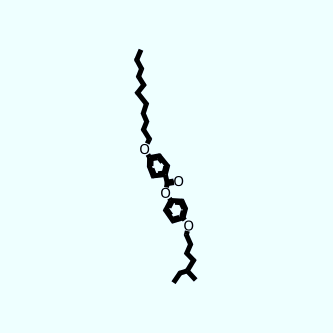 CCCCCCCCCCCOc1ccc(C(=O)Oc2ccc(OCCCCC(C)CC)cc2)cc1